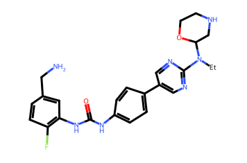 CCN(c1ncc(-c2ccc(NC(=O)Nc3cc(CN)ccc3F)cc2)cn1)C1CNCCO1